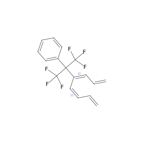 C=C/C=C\C(=C/C=C)C(c1ccccc1)(C(F)(F)F)C(F)(F)F